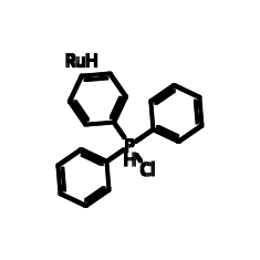 Cl[PH](c1ccccc1)(c1ccccc1)c1ccccc1.[RuH]